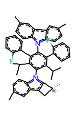 Cc1ccc2c(c1)c1c(n2-c2c(C(C)C)c(-c3ccccc3F)c(-n3c4ccc(C)cc4c4cc(C)ccc43)c(-c3ccccc3F)c2C(C)C)[C@H](C)C1